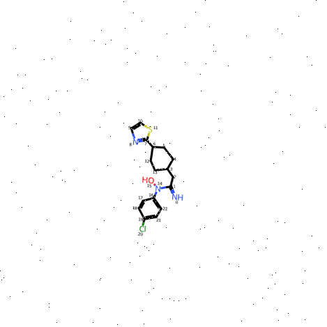 N=C(CC1CCC(c2nccs2)CC1)N(O)c1ccc(Cl)cc1